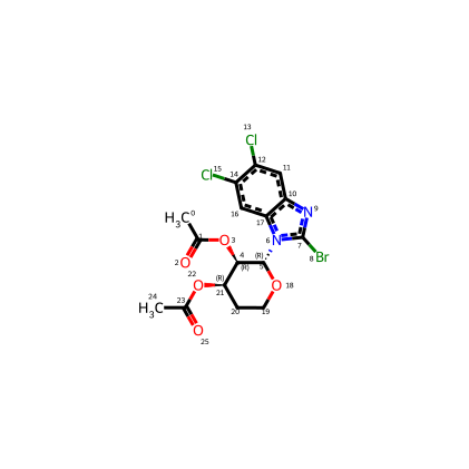 CC(=O)O[C@H]1[C@H](n2c(Br)nc3cc(Cl)c(Cl)cc32)OCC[C@H]1OC(C)=O